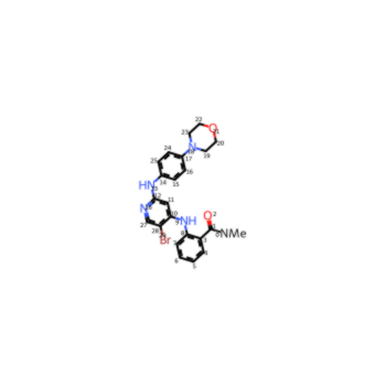 CNC(=O)c1ccccc1Nc1cc(Nc2ccc(N3CCOCC3)cc2)ncc1Br